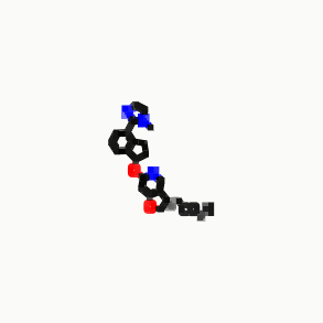 Cn1ccnc1-c1cccc2c1CCC2Oc1cc2c(cn1)[C@H](CC(=O)O)CO2